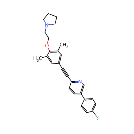 Cc1cc(C#Cc2ccc(-c3ccc(Cl)cc3)cn2)cc(C)c1OCCN1CCCC1